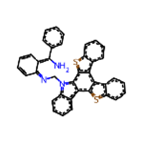 N/C(=C1/C=CC=C/C1=N/Cn1c2ccccc2c2c3sc4ccccc4c3c3c4ccccc4sc3c21)c1ccccc1